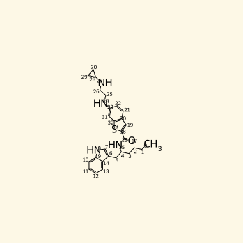 CCCCC(Cc1c[nH]c2ccccc12)NC(=O)c1cc2ccc(NCCNC3CC3)cc2s1